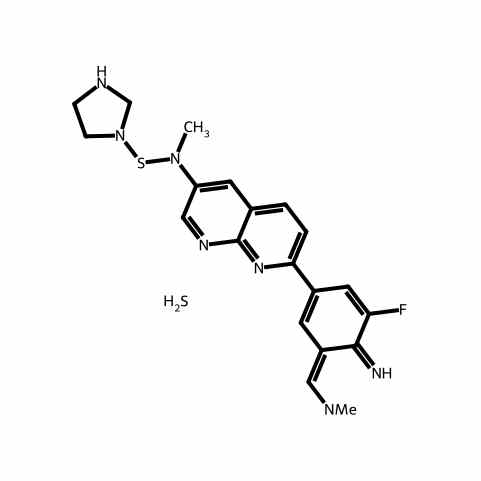 CN/C=C1/C=C(c2ccc3cc(N(C)SN4CCNC4)cnc3n2)C=C(F)C1=N.S